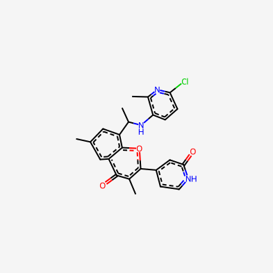 Cc1cc(C(C)Nc2ccc(Cl)nc2C)c2oc(-c3cc[nH]c(=O)c3)c(C)c(=O)c2c1